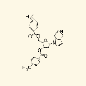 Cc1ccc(C(=O)OCC2OC(n3ccc4cnccc43)CC2OC(=O)c2ccc(C)cc2)cc1